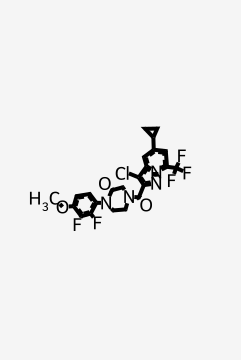 COc1ccc(N2CCN(C(=O)c3nn4c(C(F)(F)F)cc(C5CC5)cc4c3Cl)CC2=O)c(F)c1F